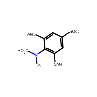 CCCCCCCCc1cc(SC)c(N(C(=O)O)C(C)C)c(SC)c1